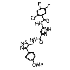 COc1ccc(-c2nnsc2CNC(=O)c2cc(NC(=O)c3cc(F)c(F)cc3Cl)[nH]n2)cc1